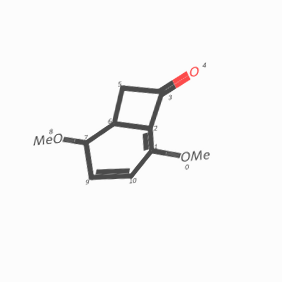 COC1=C2C(=O)CC2C(OC)C=C1